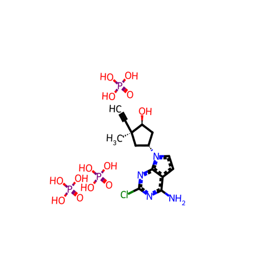 C#C[C@]1(C)C[C@@H](n2ccc3c(N)nc(Cl)nc32)C[C@@H]1O.O=P(O)(O)O.O=P(O)(O)O.O=P(O)(O)O